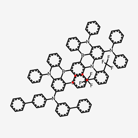 FC(F)(F)c1cccc(-c2ccccc2)c1N1c2cc(N(c3ccccc3)c3ccccc3)cc3c2B(c2ccccc2N3c2ccccc2)c2cc3c(c(C(F)(F)F)c21)Sc1cc(N(c2ccc(-c4ccccc4)cc2)c2cccc(-c4ccccc4)c2)cc2c1B3c1ccccc1N2c1ccccc1